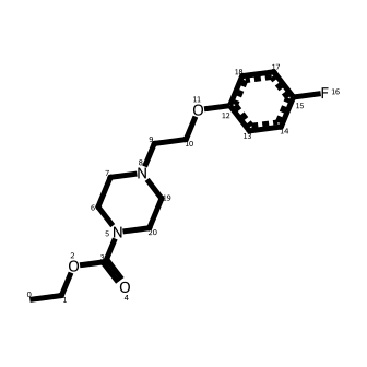 CCOC(=O)N1CCN(CCOc2ccc(F)cc2)CC1